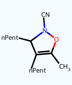 CCCCCC1=C(C)ON(C#N)C1CCCCC